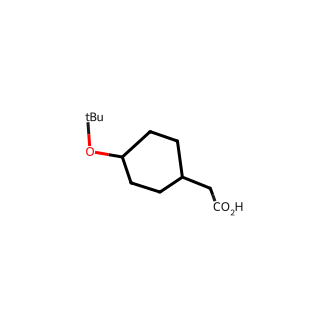 CC(C)(C)OC1CCC(CC(=O)O)CC1